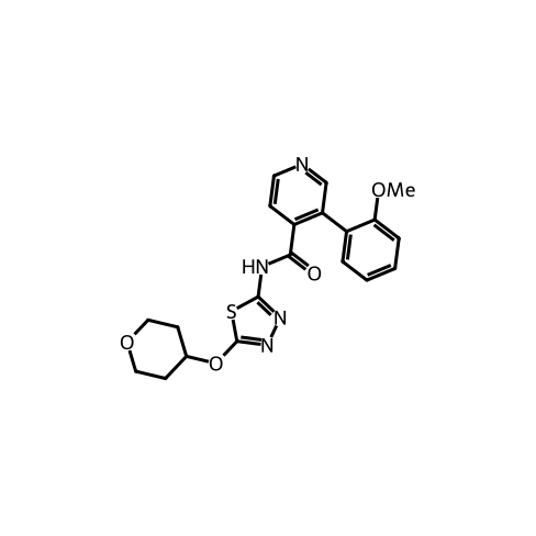 COc1ccccc1-c1cnccc1C(=O)Nc1nnc(OC2CCOCC2)s1